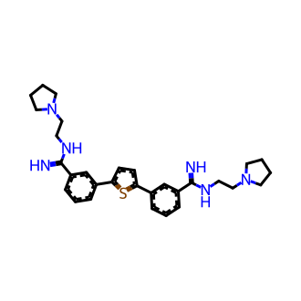 N=C(NCCN1CCCC1)c1cccc(-c2ccc(-c3cccc(C(=N)NCCN4CCCC4)c3)s2)c1